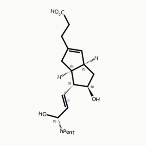 CCCCC[C@H](O)/C=C/[C@@H]1[C@H]2CC(CCC(=O)O)=C[C@H]2C[C@H]1O